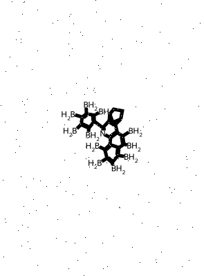 Bc1c(B)c(B)c(-c2nc3c(c(B)c(B)c4c(B)c(B)c(B)c(B)c43)c3c2C2CCC3C2)c(B)c1B